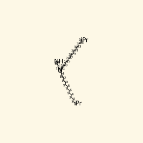 CC(C)CCCCCCCCCCCCCCCN(CCCN)CCCCCCCCCCCCCCCC(C)C